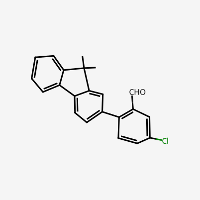 CC1(C)c2ccccc2-c2ccc(-c3ccc(Cl)cc3C=O)cc21